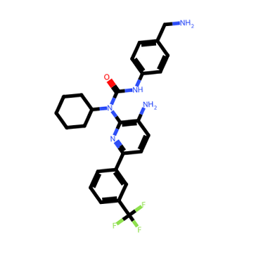 NCc1ccc(NC(=O)N(c2nc(-c3cccc(C(F)(F)F)c3)ccc2N)C2CCCCC2)cc1